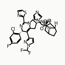 O=S(=O)(N[C@H]1CC2=C(c3ccn(C(F)F)n3)[C@H](c3ccc(F)cc3Cl)N=C(c3nccs3)N2C1)N1C2CC[C@H]1C[C@@](O)(Cn1ccnc1)C2